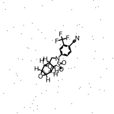 N#Cc1ccc(N2C[C@H]3[C@H]4O[C@H]([C@@H]5O[C@@H]54)[C@H]3S2(=O)=O)cc1C(F)(F)F